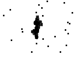 C=CCOC(=O)N1CCC(CC(=O)C[C@H]2NC(=O)[C@@H]2[C@@](C)(O[SiH](C)C)C(C)(C)C)C1COC